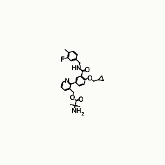 Cc1ccc(CNC(=O)c2cc(-c3ncccc3COC(=O)C(C)(C)N)ccc2OCC2CC2)cc1F